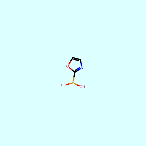 OP(O)c1ncco1